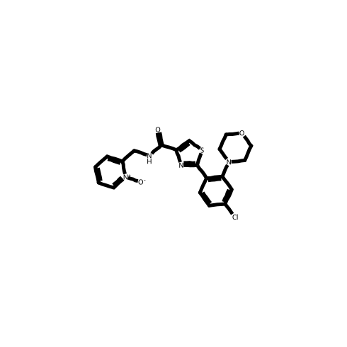 O=C(NCc1cccc[n+]1[O-])c1csc(-c2ccc(Cl)cc2N2CCOCC2)n1